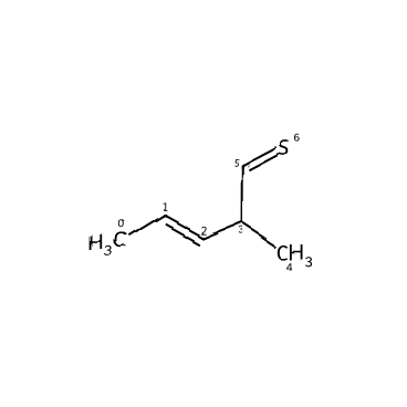 CC=CC(C)[C]=S